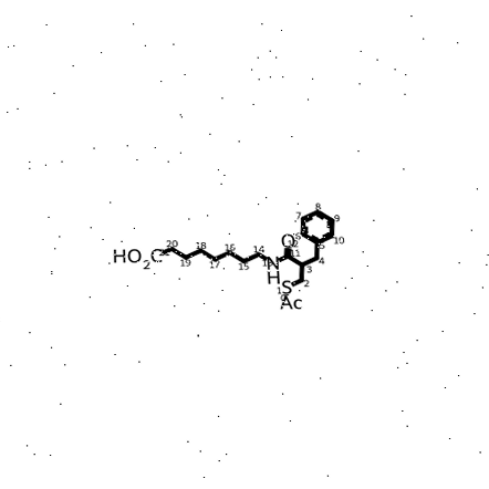 CC(=O)SCC(Cc1ccccc1)C(=O)NCCCCCCCC(=O)O